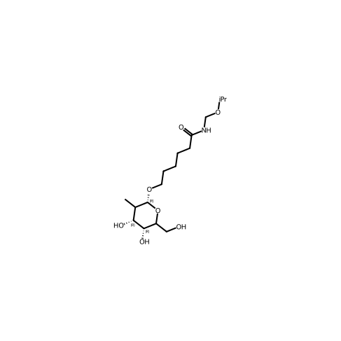 CC(C)OCNC(=O)CCCCCO[C@@H]1OC(CO)[C@H](O)[C@H](O)C1C